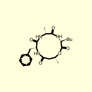 CC[C@H](C)[C@H]1NC(=O)[C@@H](C)NC(=O)[C@@H](Cc2ccccc2)NC(=O)C[C@@H](C)OC1=O